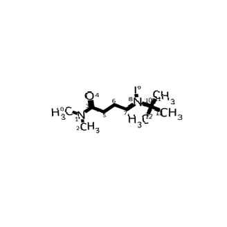 CN(C)C(=O)CCCN(I)C(C)(C)C